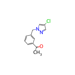 CC(=O)c1cccc(Cn2cc(Cl)cn2)c1